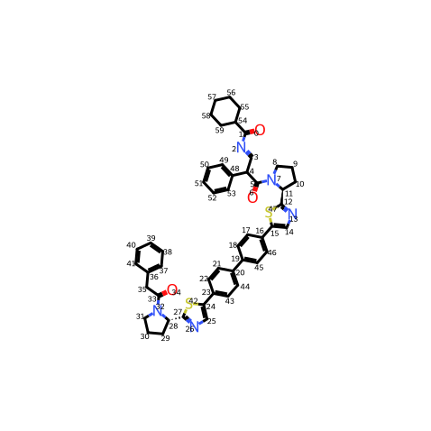 O=C(/N=C/C(C(=O)N1CCC[C@H]1c1ncc(-c2ccc(-c3ccc(-c4cnc([C@@H]5CCCN5C(=O)Cc5ccccc5)s4)cc3)cc2)s1)c1ccccc1)C1CCCCC1